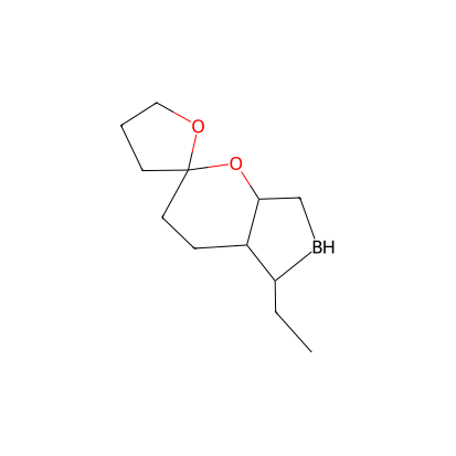 CCC1BCC2OC3(CCCO3)CCC12